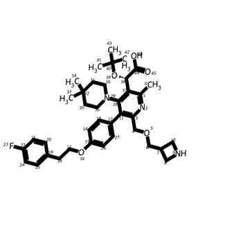 Cc1nc(COCC2CNC2)c(-c2ccc(OCCc3ccc(F)cc3)cc2)c(N2CCC(C)(C)CC2)c1[C@H](OC(C)(C)C)C(=O)O